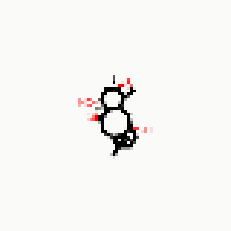 CC1=C2[CH]C(=O)[C@@]3(C)C([CH][C@](O)(C[CH]1)C2(C)C)[C]1CO[C@@H]1C[C@@H]3O